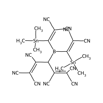 [CH3][Sn]([CH3])([CH3])[C](B([C](=C(C#N)C#N)[Sn]([CH3])([CH3])[CH3])C(C(C#N)=C(C#N)C#N)C(C#N)=C(C#N)C#N)=C(C#N)C#N